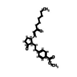 CCCCCCC(=O)C=C[C@H]1CCC(=O)N1CCc1ccc(C(=O)OC)cc1